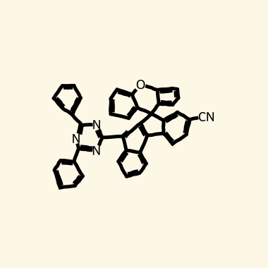 N#Cc1ccc2c(c1)C1(c3ccccc3Oc3ccccc31)c1cc(-c3nc(-c4ccccc4)nc(-c4ccccc4)n3)c3ccccc3c1-2